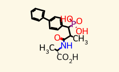 CC(C(=O)N[C@@H](C)C(=O)O)C(c1ccc(-c2ccccc2)cc1)P(=O)(O)O